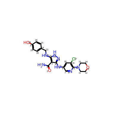 NC(=O)c1c(Nc2cnc(N3CCOCC3)c(Cl)c2)n[nH]c1NCc1ccc(O)cc1